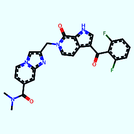 CN(C)C(=O)c1ccn2cc(Cn3ccc4c(C(=O)c5c(F)cccc5F)c[nH]c4c3=O)nc2c1